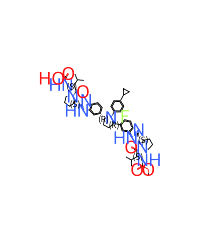 COC(=O)N[C@H](C(=O)N1CCC[C@H]1c1nc2ccc([C@H]3CC[C@H](c4ccc5nc([C@@H]6CCCN6C(=O)[C@@H](NC(=O)O)C(C)C)[nH]c5c4)N3c3ccc(C4CC4)cc3F)cc2[nH]1)C(C)C